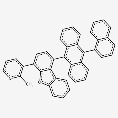 Cc1ncccc1-c1ccc(-c2c3ccccc3c(-c3cccc4ccccc34)c3ccccc23)c2c1oc1ccccc12